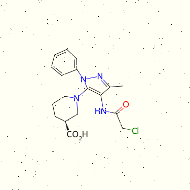 Cc1nn(-c2ccccc2)c(N2CCC[C@H](C(=O)O)C2)c1NC(=O)CCl